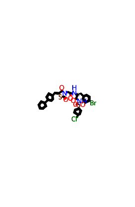 O=C(CN1C(=O)SC(=Cc2ccc(-c3ccccc3)cc2)C1=O)N[C@@H](Cc1ccc(Br)cc1)C(=O)NS(=O)(=O)c1ccc(Cl)cc1